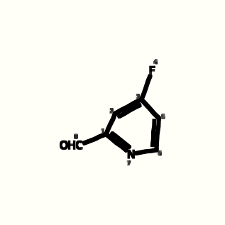 O=Cc1cc(F)ccn1